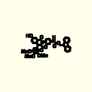 COC(=O)c1c(-c2cc(OC)c(OC)c(OC)c2)c2ccc(O)cc2c(=O)n1-c1ccc(NC(=O)OCC2c3ccccc3-c3ccccc32)cc1